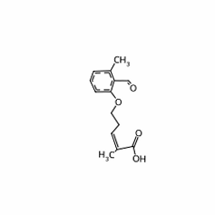 CC(=CCCOc1cccc(C)c1C=O)C(=O)O